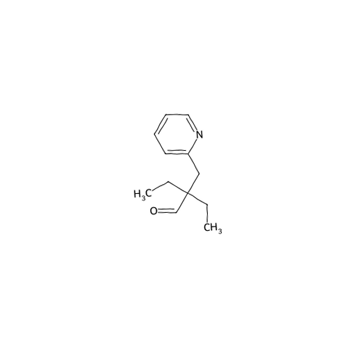 CCC(C=O)(CC)Cc1ccccn1